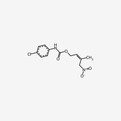 CC(=CCOC(=O)Nc1ccc(Cl)cc1)C[N+](=O)[O-]